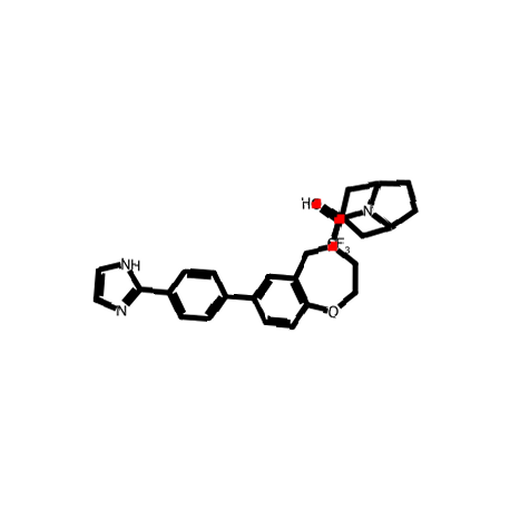 O=C(N1CCOc2ccc(-c3ccc(-c4ncc[nH]4)cc3)cc2C1)N1C2CCC1CC(O)(C(F)(F)F)C2